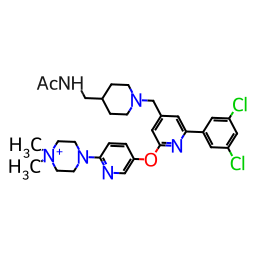 CC(=O)NCC1CCN(Cc2cc(Oc3ccc(N4CC[N+](C)(C)CC4)nc3)nc(-c3cc(Cl)cc(Cl)c3)c2)CC1